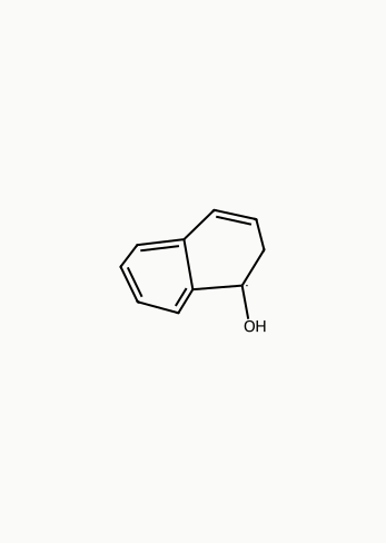 O[C]1CC=Cc2ccccc21